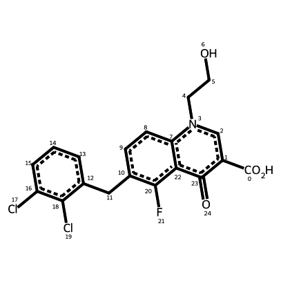 O=C(O)c1cn(CCO)c2ccc(Cc3cccc(Cl)c3Cl)c(F)c2c1=O